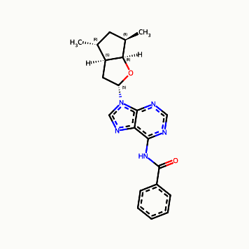 C[C@@H]1C[C@@H](C)[C@H]2O[C@H](n3cnc4c(NC(=O)c5ccccc5)ncnc43)C[C@H]21